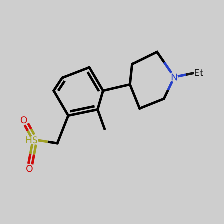 CCN1CCC(c2cccc(C[SH](=O)=O)c2C)CC1